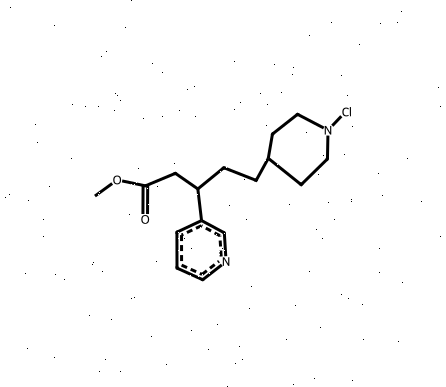 COC(=O)CC(CCC1CCN(Cl)CC1)c1cccnc1